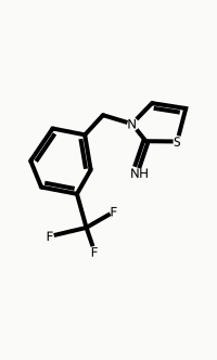 N=c1sccn1Cc1cccc(C(F)(F)F)c1